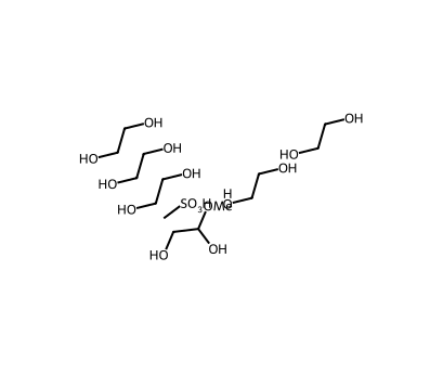 COC(O)CO.CS(=O)(=O)O.OCCO.OCCO.OCCO.OCCO.OCCO